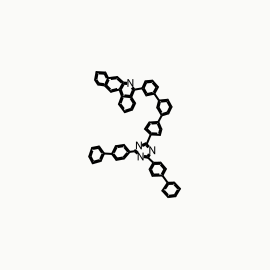 c1ccc(-c2ccc(-c3nc(-c4ccc(-c5ccccc5)cc4)nc(-c4ccc(-c5cccc(-c6cccc(-c7nc8cc9ccccc9cc8c8ccccc78)c6)c5)cc4)n3)cc2)cc1